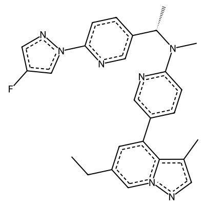 CCc1cc(-c2ccc(N(C)[C@@H](C)c3ccc(-n4cc(F)cn4)nc3)nc2)c2c(C)cnn2c1